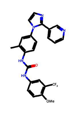 COc1ccc(NC(=O)Nc2ccc(-n3ccnc3-c3cccnc3)cc2C)cc1C(F)(F)F